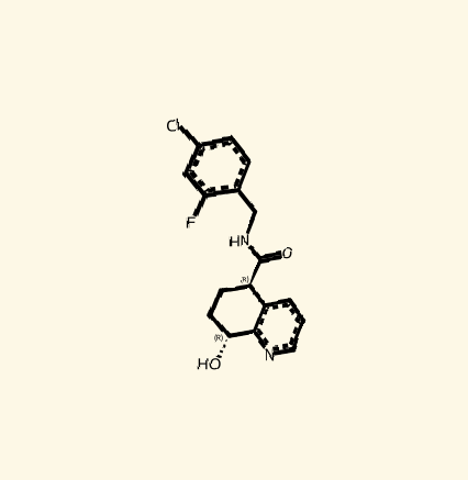 O=C(NCc1ccc(Cl)cc1F)[C@@H]1CC[C@@H](O)c2ncccc21